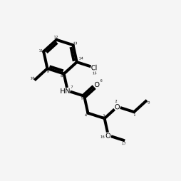 CCOC(CC(=O)Nc1c(C)cccc1Cl)OC